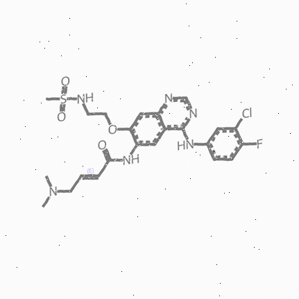 CN(C)C/C=C/C(=O)Nc1cc2c(Nc3ccc(F)c(Cl)c3)ncnc2cc1OCCNS(C)(=O)=O